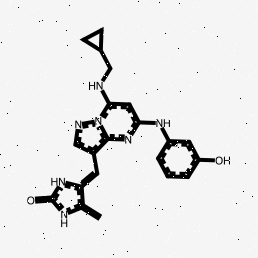 C=c1[nH]c(=O)[nH]/c1=C\c1cnn2c(NCC3CC3)cc(Nc3cccc(O)c3)nc12